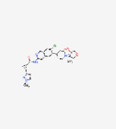 Cn1ccc(C2CC2C(=O)Nc2cc3cc(C4CCN([C@]5(C)COC[C@@H]5O)CC4)c(Cl)cc3cn2)n1